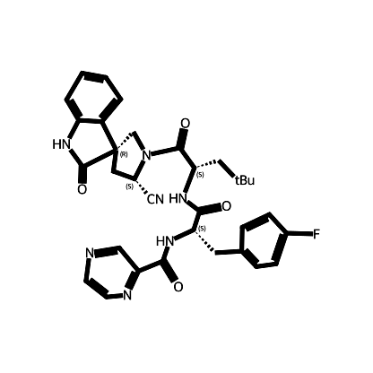 CC(C)(C)C[C@H](NC(=O)[C@H](Cc1ccc(F)cc1)NC(=O)c1cnccn1)C(=O)N1C[C@]2(C[C@H]1C#N)C(=O)Nc1ccccc12